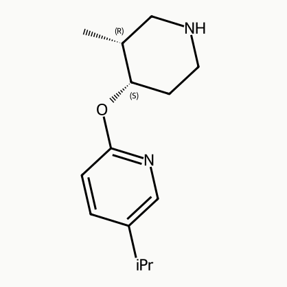 CC(C)c1ccc(O[C@H]2CCNC[C@H]2C)nc1